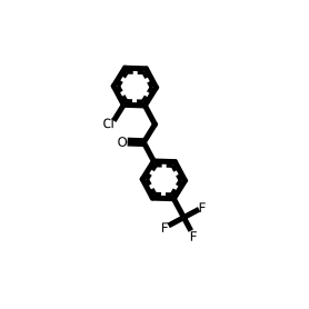 O=C(Cc1ccccc1Cl)c1ccc(C(F)(F)F)cc1